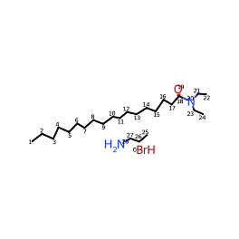 Br.CCCCCCCCCCCCCCCCCC(=O)N(CC)CC.CCCN